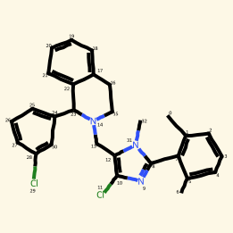 Cc1cccc(C)c1-c1nc(Cl)c(CN2CCc3ccccc3C2c2cccc(Cl)c2)n1C